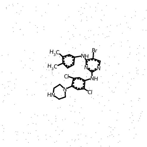 Cc1ccc(Nc2nc(Nc3cc(Cl)c(N4CCNCC4)cc3Cl)ncc2Br)cc1C